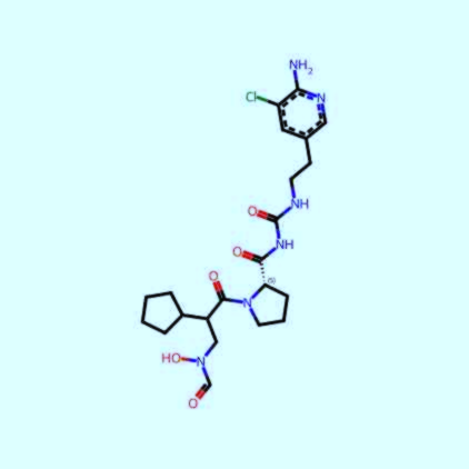 Nc1ncc(CCNC(=O)NC(=O)[C@@H]2CCCN2C(=O)C(CN(O)C=O)C2CCCC2)cc1Cl